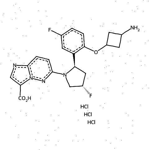 Cl.Cl.Cl.NC1CC(Oc2ccc(F)cc2[C@H]2C[C@H](F)CN2c2ccc3ncc(C(=O)O)n3n2)C1